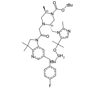 Cc1ncc(C(C)(C)O[SiH2]C(C)(C)C)n1C[C@H]1CN(C(=O)OC(C)(C)C)[C@H](C)CN1CC(=O)N1CC(C)(C)c2ncc(Cc3ccc(F)cc3)cc21